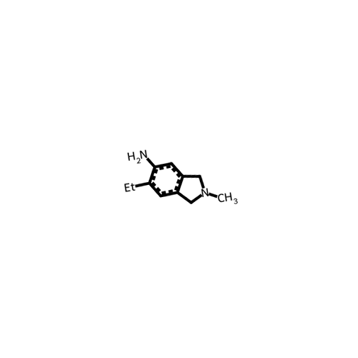 CCc1cc2c(cc1N)CN(C)C2